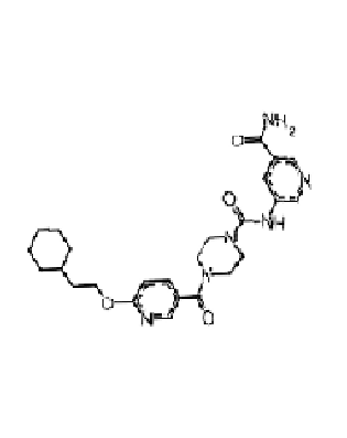 NC(=O)c1cncc(NC(=O)N2CCN(C(=O)c3ccc(OCCC4CCCCC4)nc3)CC2)c1